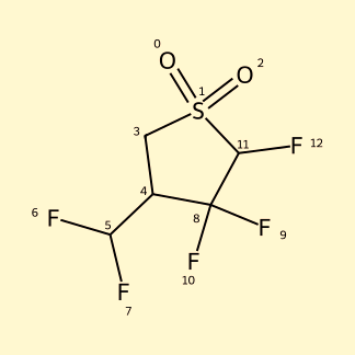 O=S1(=O)CC(C(F)F)C(F)(F)C1F